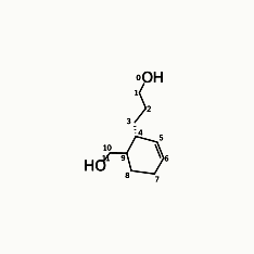 OCCC[C@@H]1C=CCCC1CO